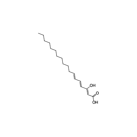 CCCCCCCCCCCC=CC=CC(O)=CC(=O)O